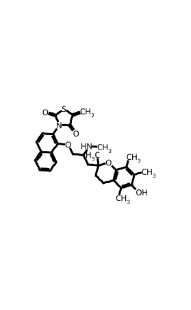 C=C1SC(=O)N(c2ccc3ccccc3c2OCC(CC2(C)CCc3c(C)c(O)c(C)c(C)c3O2)NC)C1=O